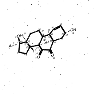 CC(=O)[C@@]1(O)CC[C@H]2[C@@H]3C(=O)C(=O)C4C[C@@H](O)C=C[C@]4(C)[C@H]3CC[C@@]21C